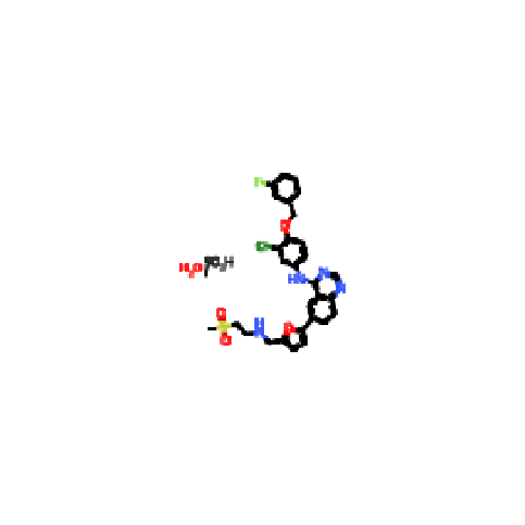 CS(=O)(=O)CCNCc1ccc(-c2ccc3ncnc(Nc4ccc(OCc5cccc(F)c5)c(Cl)c4)c3c2)o1.CS(=O)(=O)O.O